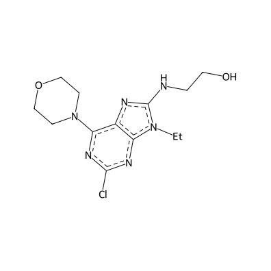 CCn1c(NCCO)nc2c(N3CCOCC3)nc(Cl)nc21